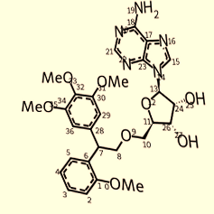 COc1ccccc1C(COC[C@H]1O[C@@H](n2cnc3c(N)ncnc32)[C@H](O)[C@@H]1O)c1cc(OC)c(OC)c(OC)c1